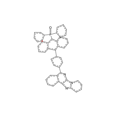 O=P(c1ccccc1)(c1ccccc1)c1c2ccccc2c(-c2ccc(-c3nc4c(nc5ccccn54)c4ccccc34)cc2)c2ccccc12